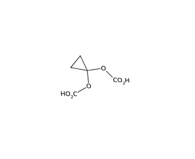 O=C(O)OC1(OC(=O)O)CC1